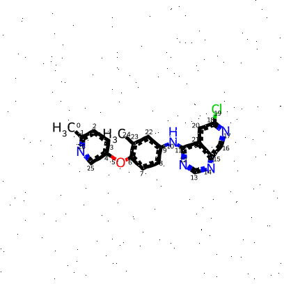 Cc1ccc(Oc2ccc(Nc3ncnc4cnc(Cl)cc34)cc2C)cn1